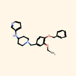 CCOc1cc(CN2CCC(Nc3cccnc3)CC2)ccc1OCc1ccccc1